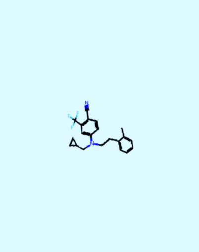 Cc1ccccc1CCN(CC1CC1)c1ccc(C#N)c(C(F)(F)F)c1